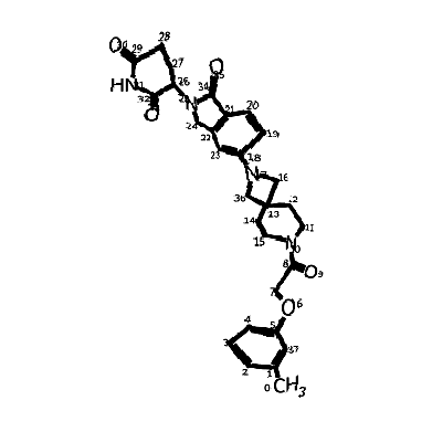 Cc1cccc(OCC(=O)N2CCC3(CC2)CN(c2ccc4c(c2)CN(C2CCC(=O)NC2=O)C4=O)C3)c1